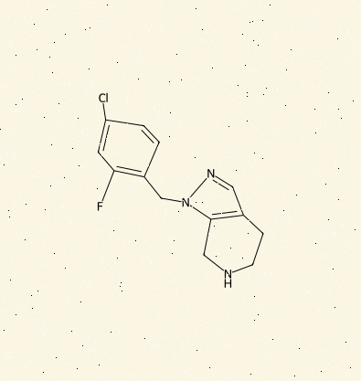 Fc1cc(Cl)ccc1Cn1ncc2c1CNCC2